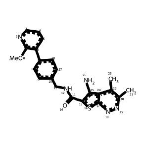 COc1ncccc1-c1ccc(CNC(=O)c2sc3nnc(C)c(C)c3c2N)cc1